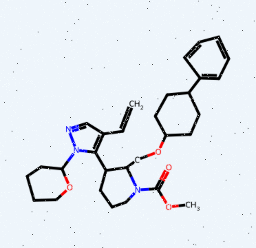 C=Cc1cnn(C2CCCCO2)c1C1CCCN(C(=O)OC)C1COC1CCC(c2ccccc2)CC1